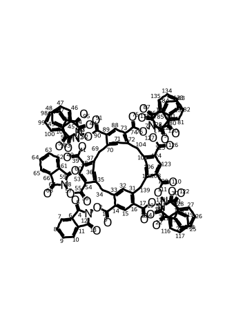 O=C(ON1C(=O)c2ccccc2C1=O)c1cc(C(=O)ON2C(=O)c3ccccc3C2=O)c2cc1Cc1cc(c(C(=O)ON3C(=O)c4ccccc4C3=O)cc1C(=O)ON1C(=O)c3ccccc3C1=O)Cc1cc(c(C(=O)ON3C(=O)c4ccccc4C3=O)cc1C(=O)ON1C(=O)c3ccccc3C1=O)Cc1cc(c(C(=O)ON3C(=O)c4ccccc4C3=O)cc1C(=O)ON1C(=O)c3ccccc3C1=O)C2